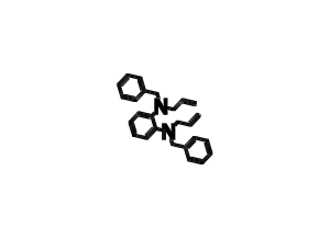 C=CCN(Cc1ccccc1)c1ccccc1N(CC=C)Cc1ccccc1